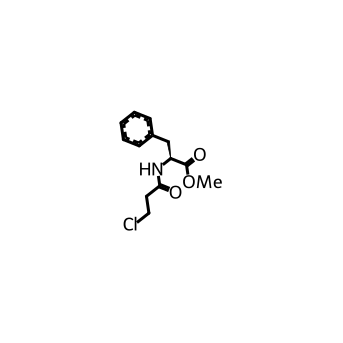 COC(=O)[C@H](Cc1ccccc1)NC(=O)CCCl